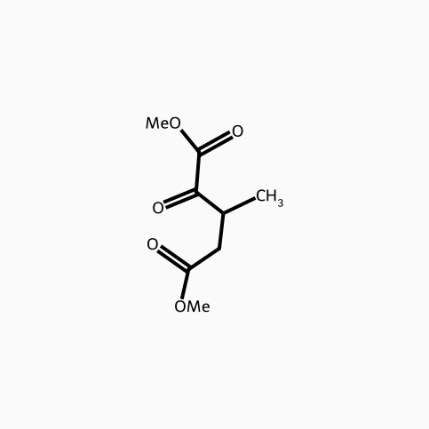 COC(=O)CC(C)C(=O)C(=O)OC